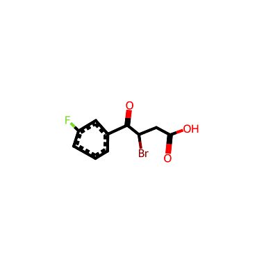 O=C(O)CC(Br)C(=O)c1cccc(F)c1